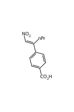 CCCC(=C[N+](=O)[O-])c1ccc(C(=O)O)cc1